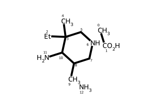 CC(=O)O.CCC1(C)CNCC(C)C1N.N